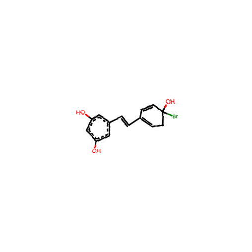 Oc1cc(O)cc(C=CC2=CCC(O)(Br)C=C2)c1